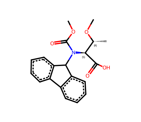 COC(=O)N(C1c2ccccc2-c2ccccc21)[C@H](C(=O)O)[C@@H](C)OC